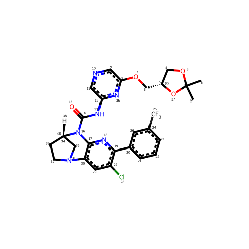 CC1(C)OC[C@@H](COc2cncc(NC(=O)N3c4nc(-c5cccc(C(F)(F)F)c5)c(Cl)cc4N4CC[C@H]3C4)n2)O1